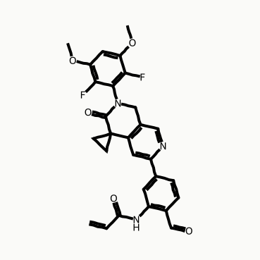 C=CC(=O)Nc1cc(-c2cc3c(cn2)CN(c2c(F)c(OC)cc(OC)c2F)C(=O)C32CC2)ccc1C=O